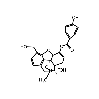 CN1CC[C@]23c4c5ccc(CO)c4OC2C(OC(=O)c2ccc(O)cc2)=CC[C@@]3(O)[C@H]1C5